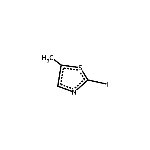 Cc1cnc(I)s1